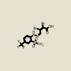 CS(=O)(=O)c1cc(C(F)(F)F)ccc1N/N=C\C(Br)=C(\Br)C(=O)O